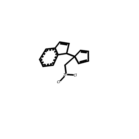 [Cl][Zr]([Cl])[CH2]C1(C2C=Cc3ccccc32)C=CC=C1